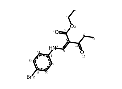 CCOC(=O)C(=CNc1ccc(Br)cc1)C(=O)CC